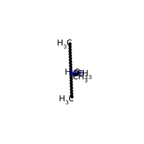 CCCCCCCCCCCCCCCCCCCCCC(CCCCCCCCCCCCCCCCC)NCC(C)(C)CC(C)C